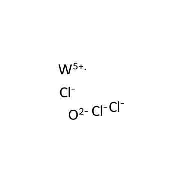 [Cl-].[Cl-].[Cl-].[O-2].[W+5]